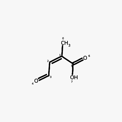 CC(=CC=O)C(=O)O